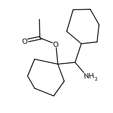 CC(=O)OC1(C(N)C2CCCCC2)CCCCC1